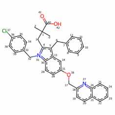 CC(C)(Cc1c(Cc2ccccc2)c2cc(OCc3ccc4ccccc4n3)ccc2n1Cc1ccc(Cl)cc1)C(=O)O